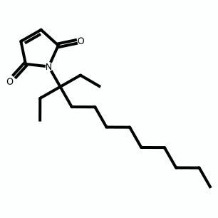 CCCCCCCCCC(CC)(CC)N1C(=O)C=CC1=O